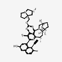 C#Cc1c(F)ccc2cc(O)cc(-c3nc4c5c(nc(OC[C@@]67CCCN6C[C@H](F)C7)nc5c3F)N3C[C@H]5CC[C@H](N5)[C@H]3C[C@@H]4C)c12